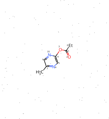 CCC(=O)Oc1cnc(C)cn1